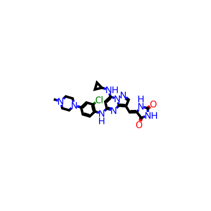 CN1CCN(c2ccc(Nc3cc(NC4CC4)n4ncc(/C=C5\NC(=O)NC5=O)c4n3)c(Cl)c2)CC1